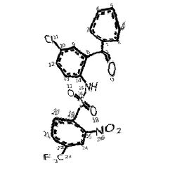 O=C(c1ccccc1)c1cc(Cl)ccc1NS(=O)(=O)c1ccc(C(F)(F)F)cc1[N+](=O)[O-]